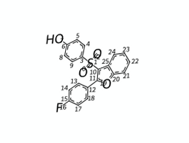 O=S(=O)(c1ccc(O)cc1)c1c(-c2ccc(F)cc2)oc2ccccc12